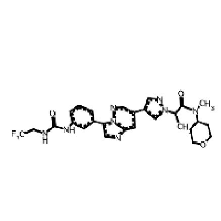 CC(C(=O)N(C)C1CCOCC1)n1cc(-c2cnn3c(-c4cccc(NC(=O)NCC(F)(F)F)c4)cnc3c2)cn1